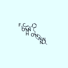 Cc1cnc(N2CCN(C(=O)CCc3ccccc3-c3cc(C(F)(F)F)c(=O)[nH]n3)CC2)nc1